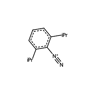 CC(C)c1cccc(C(C)C)c1[N+]#N